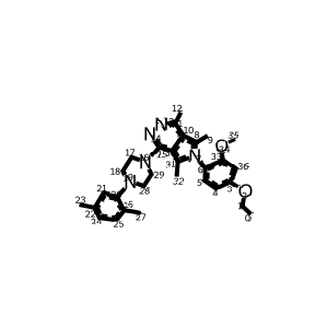 CCOc1ccc(-n2c(C)c3c(C)nnc(N4CCN(c5cc(C)ccc5C)CC4)c3c2C)c(OC)c1